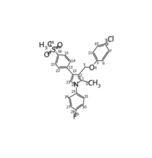 Cc1c(COc2ccc(Cl)cc2)c(-c2ccc(S(C)(=O)=O)cc2)cn1-c1ccc(F)cc1